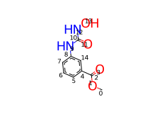 COC(=O)c1cccc(NC(=O)NO)c1